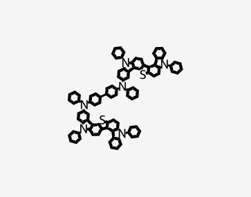 c1ccc(N(c2ccc(-c3ccc(N(c4ccccc4)c4ccc5c(c4)c4c6sc7ccc8c(c9ccccc9n8-c8ccccc8)c7c6ccc4n5-c4ccccc4)cc3)cc2)c2ccc3c(c2)c2c4sc5ccc6c(c7ccccc7n6-c6ccccc6)c5c4ccc2n3-c2ccccc2)cc1